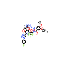 COc1cc(C(=O)NC[C@](O)(c2cc3c(c(-c4cn(-c5ccc(F)cc5)nn4)n2)OC[C@]3(C)C(N)=O)C(F)(F)F)ccc1OC1CC1